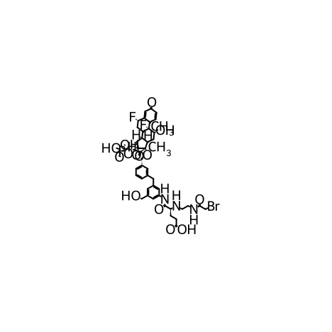 C[C@]12C=CC(=O)C=C1[C@@H](F)C[C@H]1[C@@H]3C[C@H]4O[C@@H](c5cccc(Cc6cc(CO)cc(NC(=O)[C@H](CCC(=O)O)NCCNC(=O)CBr)c6)c5)O[C@@]4(C(=O)COP(=O)(O)O)[C@@]3(C)C[C@H](O)[C@@]12F